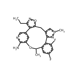 CCc1noc2c1-c1cnc(N)c(c1)OC(C)c1cc(F)cc(F)c1-c1nn(C)cc1C2